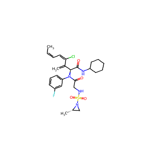 C=C(/C(Cl)=C\C=C/C)[C@@H](C(=O)NC1CCCCC1)N(C(=O)CNS(=O)(=O)N1C[C@@H]1C)c1cccc(F)c1